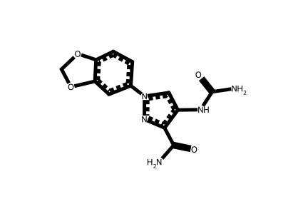 NC(=O)Nc1cn(-c2ccc3c(c2)OCO3)nc1C(N)=O